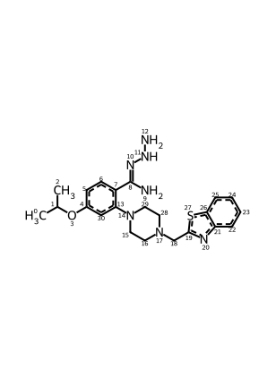 CC(C)Oc1ccc(/C(N)=N/NN)c(N2CCN(Cc3nc4ccccc4s3)CC2)c1